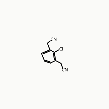 N#CCc1cccc(CC#N)c1Cl